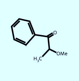 COC(C)C(=O)c1[c]cccc1